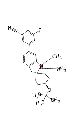 BC(B)(B)O[C@H]1CC[C@]2(CC1)Cc1ccc(-c3cc(F)cc(C#N)c3)cc1C21N=C(C)C(N)=N1